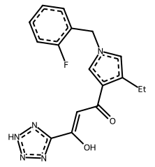 CCc1cn(Cc2ccccc2F)cc1C(=O)C=C(O)c1nn[nH]n1